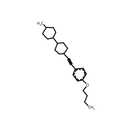 CCCCOc1ccc(C#CC2CCC(C3CCC(C)CC3)CC2)cc1